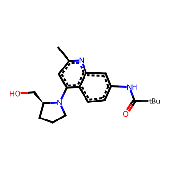 Cc1cc(N2CCC[C@H]2CO)c2ccc(NC(=O)C(C)(C)C)cc2n1